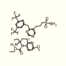 CCOC(=O)N1c2ccc(OC)nc2[C@@H](c2ncc(CCCS(N)(=O)=O)c(Cc3cc(C(F)(F)F)cc(C(F)(F)F)c3)n2)C[C@@]1(N)CC